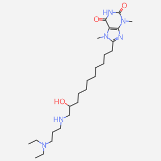 CCN(CC)CCCNCC(O)CCCCCCCCCc1nc2c(c(=O)[nH]c(=O)n2C)n1C